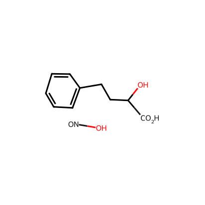 O=C(O)C(O)CCc1ccccc1.O=NO